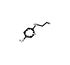 Nc1ccc(NCCF)nc1